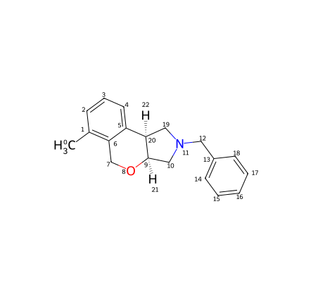 Cc1cccc2c1CO[C@@H]1CN(Cc3ccccc3)C[C@H]21